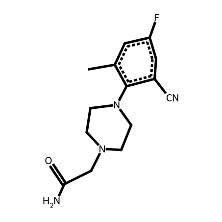 Cc1cc(F)cc(C#N)c1N1CCN(CC(N)=O)CC1